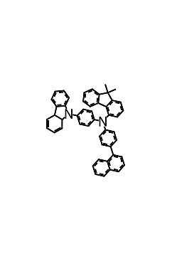 CC1(C)c2ccccc2-c2c(N(c3ccc(-c4cccc5ccccc45)cc3)c3ccc(N4c5ccccc5C5C=CC=CC54)cc3)cccc21